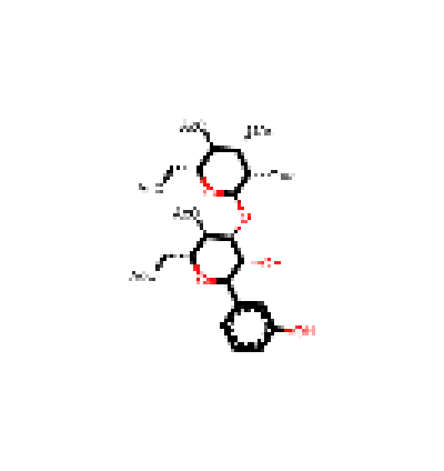 CC(=O)OC[C@H]1O[C@H](O[C@H]2[C@H](OC(C)=O)[C@@H](COC(C)=O)OC(c3cccc(O)c3)[C@H]2O)[C@@H](OC(C)=O)[C@@H](OC(C)=O)[C@@H]1OC(C)=O